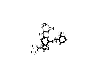 CC[C@H](CO)Nc1nc(NCc2ccccc2O)c2ncn(C(C)C)c2n1